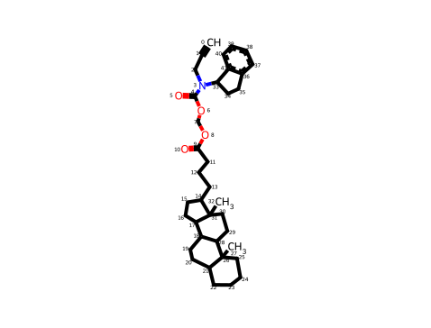 C#CCN(C(=O)OCOC(=O)CCCC1CCC2C3CCC4CCCCC4(C)C3CCC12C)C1CCc2ccccc21